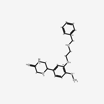 COc1ccc(C2CNC(=O)CO2)cc1OCCOCc1ccccc1